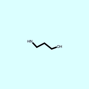 [NH]CCCO